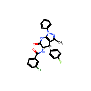 Cc1nn(-c2ccccc2)c2c1[C@H](c1ccc(F)cc1)[C@@H](NC(=O)c1cccc(Cl)c1)C(=O)N2